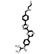 CC(C)[S+]([O-])c1ccc(-c2cncc(-c3nnc(-c4ccc(CNCCF)cc4)o3)n2)cc1